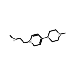 COCCN1C=CC(N2CCN(C)CC2)=CC1